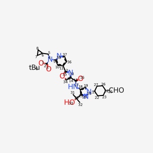 CC(C)(C)OC(=O)N(CC1CC1)c1cc(-c2nc(C(=O)Nc3cn([C@H]4CC[C@H](C=O)CC4)nc3C(C)(C)O)co2)ccn1